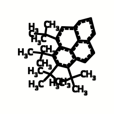 CC(C)(C)c1c(C(C)(C)C)c2ccc3cccc4cc(C(C)(C)C)c(c1C(C)(C)C)c2c34